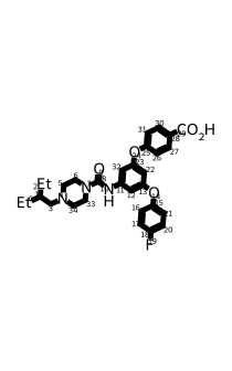 CCC(CC)CN1CCN(C(=O)Nc2cc(Oc3ccc(F)cc3)cc(Oc3ccc(C(=O)O)cc3)c2)CC1